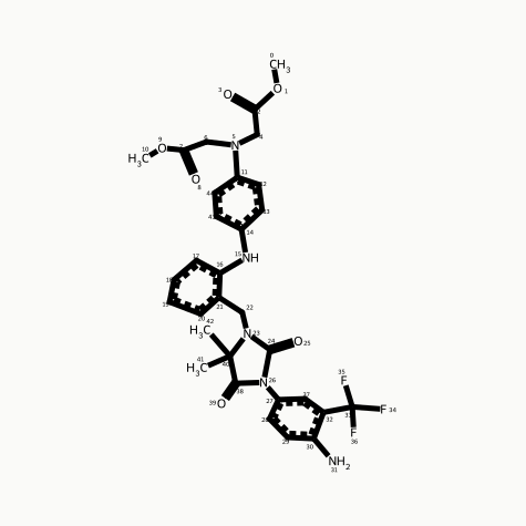 COC(=O)CN(CC(=O)OC)c1ccc(Nc2ccccc2CN2C(=O)N(c3ccc(N)c(C(F)(F)F)c3)C(=O)C2(C)C)cc1